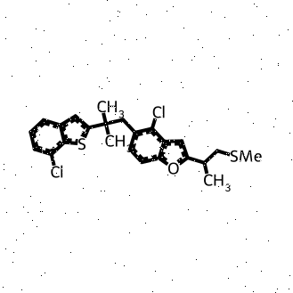 CSCC(C)c1cc2c(Cl)c(CC(C)(C)c3cc4cccc(Cl)c4s3)ccc2o1